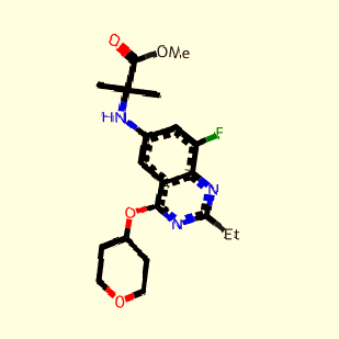 CCc1nc(OC2CCOCC2)c2cc(NC(C)(C)C(=O)OC)cc(F)c2n1